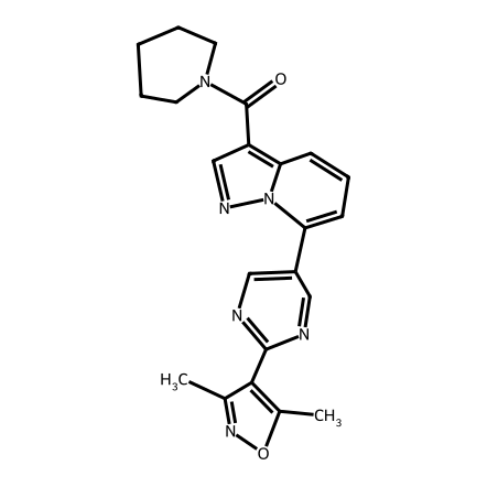 Cc1noc(C)c1-c1ncc(-c2cccc3c(C(=O)N4CCCCC4)cnn23)cn1